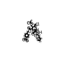 CC(=O)OCC1=C(C(=O)OCc2ccc([N+](=O)[O-])cc2)N2C(=O)C(NC(=O)Cc3cccs3)[C@@H]2SC1=CCl